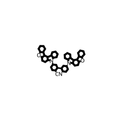 N#Cc1ccc(-n2c3ccccc3c3c4c(ccc32)oc2ccccc24)cc1-c1cccc(-n2c3ccccc3c3c4c(ccc32)oc2ccccc24)c1